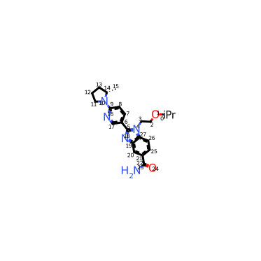 CC(C)OCCn1c(-c2ccc(N3CCC[C@@H]3C)nc2)nc2cc(C(N)=O)ccc21